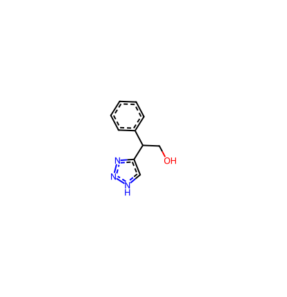 OCC(c1ccccc1)c1c[nH]nn1